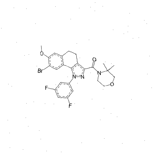 COc1cc2c(cc1Br)-c1c(c(C(=O)N3CCOCC3(C)C)nn1-c1cc(F)cc(F)c1)CC2